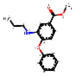 CCCNc1cc(C(=O)OC)ccc1Oc1ccccc1